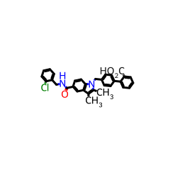 Cc1c(C)n(Cc2ccc(-c3ccccc3C(=O)O)cc2)c2ccc(C(=O)NCc3ccccc3Cl)cc12